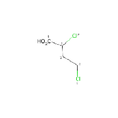 O=C(O)C(Cl)CCCl